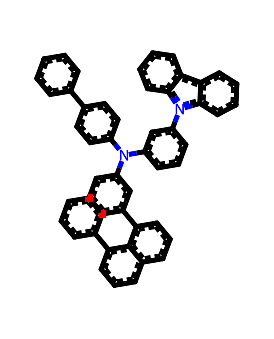 c1ccc(-c2ccc(N(c3cccc(-c4cccc5cccc(-c6ccccc6)c45)c3)c3cccc(-n4c5ccccc5c5ccccc54)c3)cc2)cc1